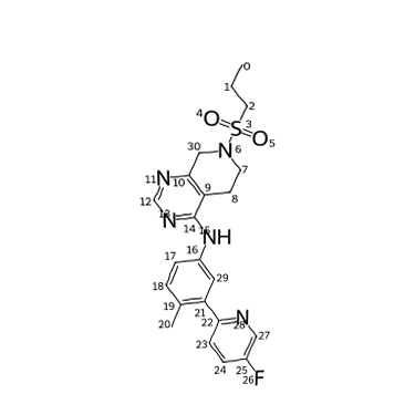 CCCS(=O)(=O)N1CCc2c(ncnc2Nc2ccc(C)c(-c3ccc(F)cn3)c2)C1